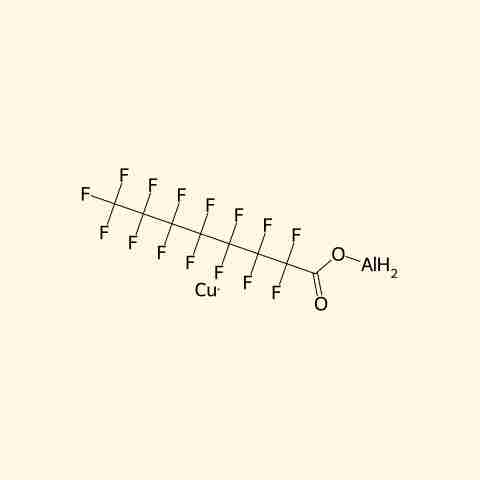 O=C([O][AlH2])C(F)(F)C(F)(F)C(F)(F)C(F)(F)C(F)(F)C(F)(F)C(F)(F)F.[Cu]